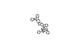 c1ccc(-c2nc(-n3c4ccccc4c4cc5c(cc43)sc3cc4c(cc35)c3ccccc3n4-c3ccccc3)c3oc4ccccc4c3n2)cc1